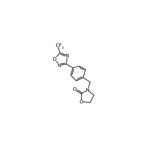 O=C1OCCN1Cc1ccc(-c2noc(C(F)(F)F)n2)cc1